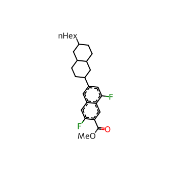 CCCCCCC1CCC2CC(c3cc(F)c4cc(C(=O)OC)c(F)cc4c3)CCC2C1